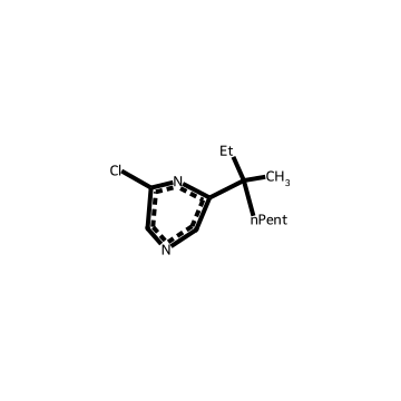 CCCCCC(C)(CC)c1cncc(Cl)n1